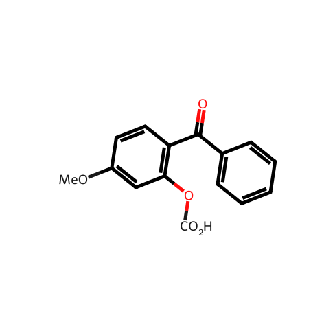 COc1ccc(C(=O)c2ccccc2)c(OC(=O)O)c1